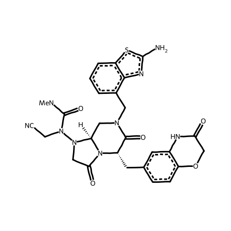 CNC(=O)N(CC#N)N1CC(=O)N2[C@@H](Cc3ccc4c(c3)NC(=O)CO4)C(=O)N(Cc3cccc4sc(N)nc34)C[C@@H]21